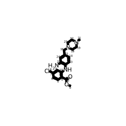 COC(=O)c1ccc(Cl)cc1Nc1ccc(CN2CCN(C)CC2)cc1N